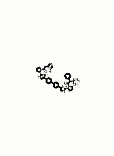 CN(C)[C@@H](C(=O)N1CCC[C@H]1c1ncc(-c2ccc(-c3ccc(-c4cnc([C@@H]5CCCN5C(=O)Cc5cnc[nH]5)[nH]4)cc3)cc2)[nH]1)c1ccccc1